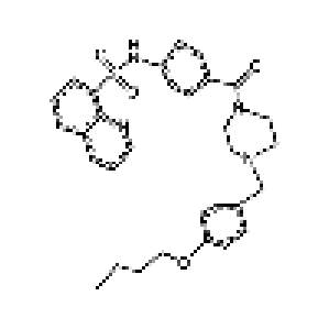 CCCCOc1ccc(CN2CCN(C(=O)c3ccc(NS(=O)(=O)c4cccc5cccnc45)cc3)CC2)cc1